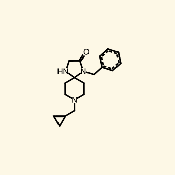 O=C1CNC2(CCN(CC3CC3)CC2)N1Cc1ccccc1